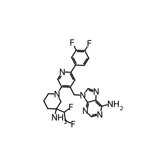 Nc1ncnc2c1ncn2Cc1cc(-c2ccc(F)c(F)c2)ncc1N1CCCC(N)(C(F)CF)C1